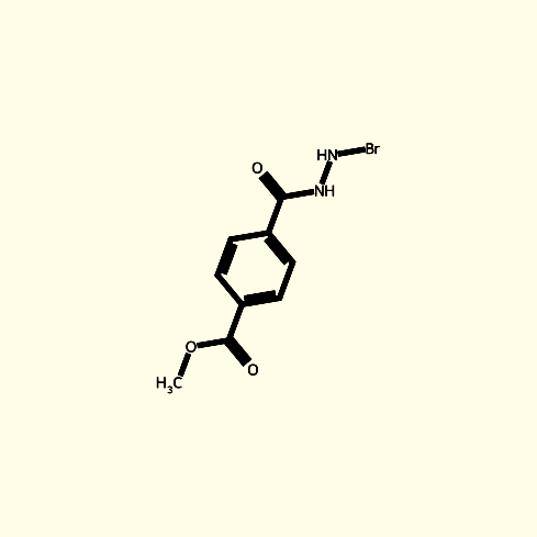 COC(=O)c1ccc(C(=O)NNBr)cc1